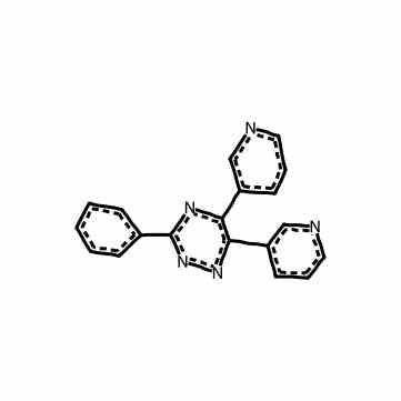 c1ccc(-c2nnc(-c3cccnc3)c(-c3cccnc3)n2)cc1